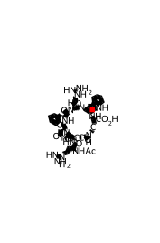 CC(=O)N[C@@H](CCCNC(=N)N)C(=O)N[C@H]1CCC(=O)NCCC[C@@H](C(=O)O)NC(=O)[C@H](Cc2c[nH]c3ccccc23)NC(=O)[C@H](CCCNC(=N)N)NC(=O)[C@@H](Cc2ccccc2)NC(=O)[C@H](CC(N)=O)NC1=O